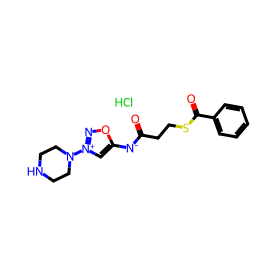 Cl.O=C(CCSC(=O)c1ccccc1)[N-]c1c[n+](N2CCNCC2)no1